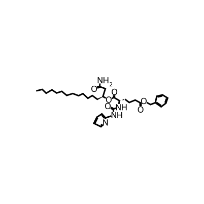 CCCCCCCCCCCCC[C@@H](CC(N)=O)OC(=O)[C@H](CCCC(=O)OCc1ccccc1)NC(=O)Nc1ccccn1